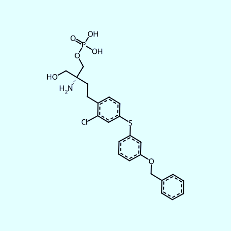 N[C@@](CO)(CCc1ccc(Sc2cccc(OCc3ccccc3)c2)cc1Cl)COP(=O)(O)O